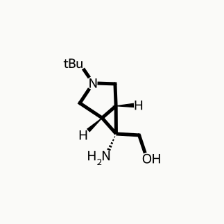 CC(C)(C)N1C[C@@H]2[C@H](C1)[C@@]2(N)CO